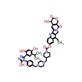 CCc1c2c(nc3ccc(OC(=O)N4CCC(CN5CCN(Cc6ccc(-n7c(O)nnc7-c7cc(C(C)C)c(O)cc7O)cc6)CC5)CC4)cc13)-c1cc3c(c(=O)n1C2)COC(=O)C3O